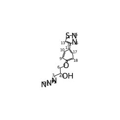 [N-]=[N+]=NCC(O)COc1ccc(-c2csnn2)cc1